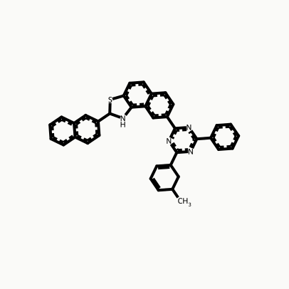 CC1C=CC=C(c2nc(-c3ccccc3)nc(-c3ccc4ccc5c(c4c3)NC(c3ccc4ccccc4c3)S5)n2)C1